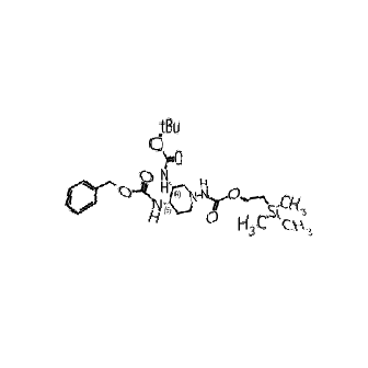 CC(C)(C)OC(=O)N[C@@H]1CN(NC(=O)OCC[Si](C)(C)C)CC[C@@H]1NC(=O)OCc1ccccc1